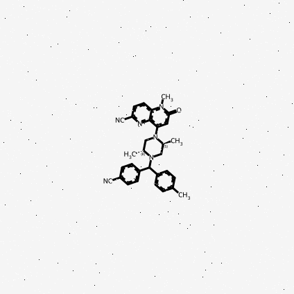 Cc1ccc(C(c2ccc(C#N)cc2)N2C[C@H](C)N(c3cc(=O)n(C)c4ccc(C#N)nc34)C[C@H]2C)cc1